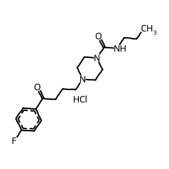 CCCNC(=O)N1CCN(CCCC(=O)c2ccc(F)cc2)CC1.Cl